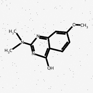 COc1ccc2c(O)nc(N(C)C)nc2c1